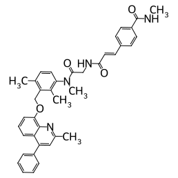 CNC(=O)c1ccc(/C=C/C(=O)NCC(=O)N(C)c2ccc(C)c(COc3cccc4c(-c5ccccc5)cc(C)nc34)c2C)cc1